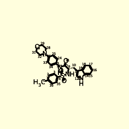 Cc1ccc(S(=O)(=O)N[C@@H](Cc2c[nH]c3ccccc23)C(=O)Nc2ccc(N3CCOCC3)cc2)cc1